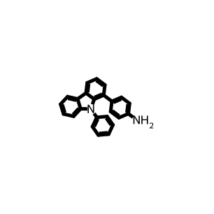 Nc1ccc(-c2cccc3c4ccccc4n(-c4ccccc4)c23)cc1